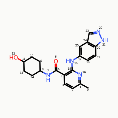 Cc1ccc(C(=O)NC2CCC(O)CC2)c(Nc2ccc3[nH]ncc3c2)n1